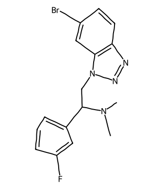 CN(C)C(Cn1nnc2ccc(Br)cc21)c1cccc(F)c1